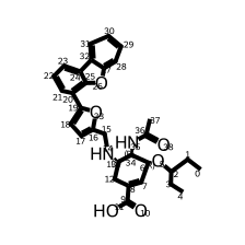 CCC(CC)O[C@@H]1C=C(C(=O)O)C[C@H](NCc2ccc(-c3cccc4c3oc3ccccc34)o2)[C@H]1NC(C)=O